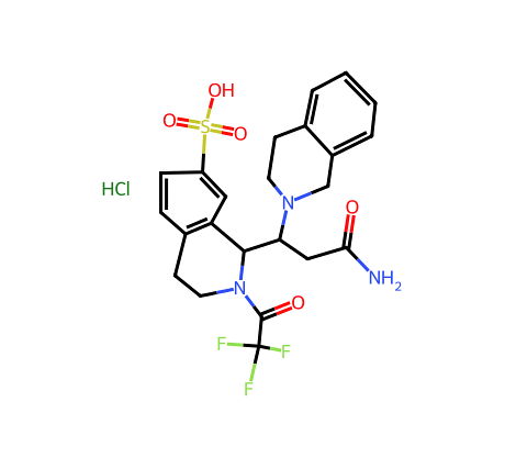 Cl.NC(=O)CC(C1c2cc(S(=O)(=O)O)ccc2CCN1C(=O)C(F)(F)F)N1CCc2ccccc2C1